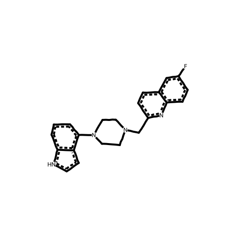 Fc1ccc2nc(CN3CCN(c4cccc5[nH]ccc45)CC3)ccc2c1